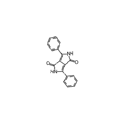 O=C1NC(c2ccccc2)=C2C(=O)NC(c3ccccc3)=C12